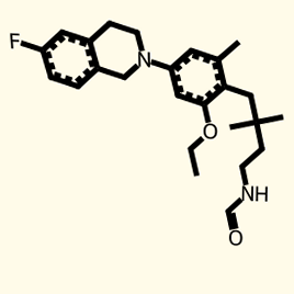 CCOc1cc(N2CCc3cc(F)ccc3C2)cc(C)c1CC(C)(C)CCNC=O